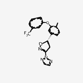 Cc1ccc([C@@H]2CC(n3nccn3)=NO2)cc1Oc1cccc(C(F)(F)F)c1